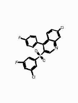 O=S(=O)(c1cc(F)cc(Cl)c1)c1cnc2cc(Cl)ccc2c1-c1ccc(F)cc1